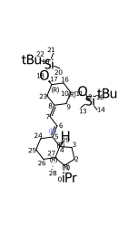 CC(C)[C@H]1CC[C@H]2/C(=C/C=C3C[C@@H](O[Si](C)(C)C(C)(C)C)C[C@H](O[Si](C)(C)C(C)(C)C)C3)CCC[C@]12C